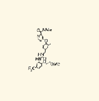 CNC(=O)c1cc(Oc2ccc(CNC(=O)Nc3cc(C(F)(F)F)ccc3OCCOC)cc2C)ccn1